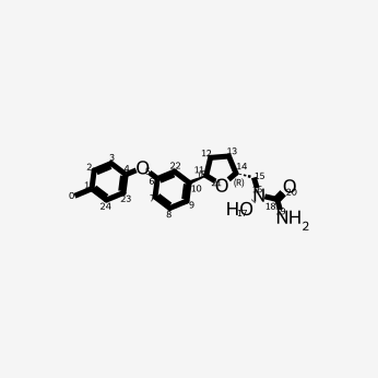 Cc1ccc(Oc2cccc([C@H]3CC[C@H](CN(O)C(N)=O)O3)c2)cc1